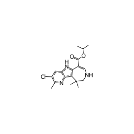 Cc1nc2c3c([nH]c2cc1Cl)C(C(=O)OC(C)C)=CNCC3(C)C